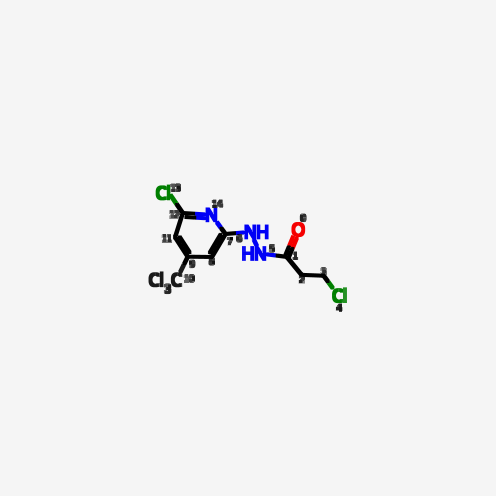 O=C(CCCl)NNc1cc(C(Cl)(Cl)Cl)cc(Cl)n1